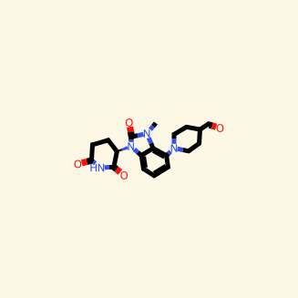 Cn1c(=O)n([C@@H]2CCC(=O)NC2=O)c2cccc(N3CCC(C=O)CC3)c21